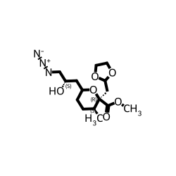 COC(=O)[C@]1(CC2OCCO2)OC(C[C@H](O)CN=[N+]=[N-])CC[C@@H]1C